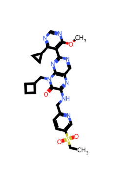 CCS(=O)(=O)c1ccc(CNc2nc3cnc(-c4c(OC)ncnc4C4CC4)nc3n(CC3CCC3)c2=O)nc1